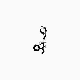 CC/C(=N/C(=O)OCCN1CCOCC1)c1ccccc1